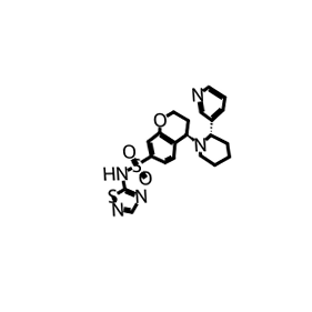 O=S(=O)(Nc1ncns1)c1ccc2c(c1)OCC[C@H]2N1CCCC[C@H]1c1cccnc1